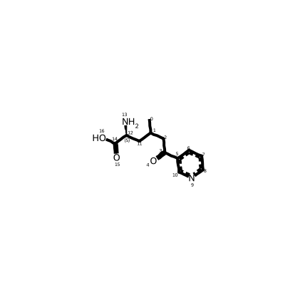 CC(CC(=O)c1cccnc1)C[C@H](N)C(=O)O